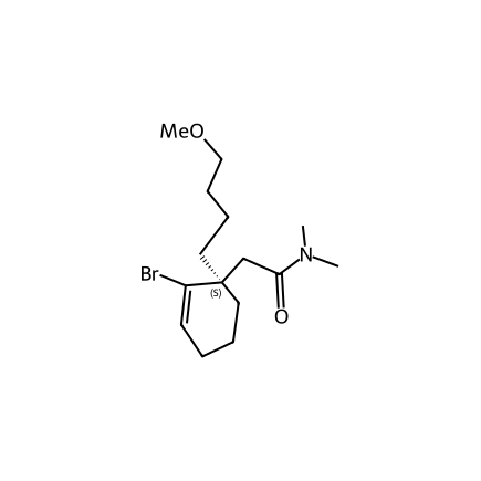 COCCCC[C@]1(CC(=O)N(C)C)CCCC=C1Br